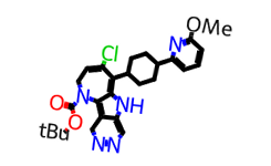 COc1cccc(C2CCC(C3=c4[nH]c5c(c4N(C(=O)OC(C)(C)C)CC=C3Cl)CN=NC=5)CC2)n1